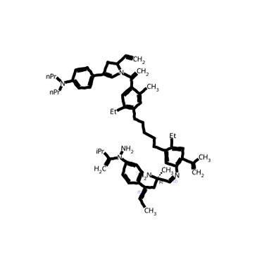 C=CC1CC(c2ccc(N(CCC)CCC)cc2)=CN1C(=C)c1cc(CC)c(CCCCCc2cc(/N=C\[C@](C)(N)C/C(=C\C)c3ccc(N(N)C(=C)C(C)C)cc3)c(C(=C)C)cc2CC)cc1C